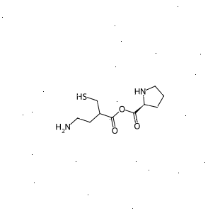 NCCC(CS)C(=O)OC(=O)[C@@H]1CCCN1